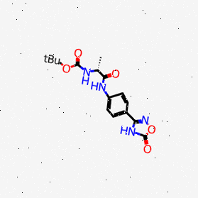 C[C@@H](NC(=O)OC(C)(C)C)C(=O)Nc1ccc(-c2noc(=O)[nH]2)cc1